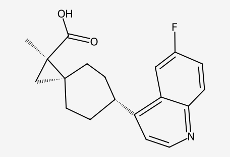 C[C@@]1(C(=O)O)C[C@]12CC[C@@H](c1ccnc3ccc(F)cc31)CC2